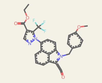 CCOC(=O)c1cnn(-c2ccc3c4c2cccc4c(=C=O)n3Cc2ccc(OC)cc2)c1C(F)(F)F